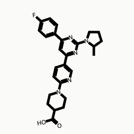 CC1CCCN1c1nc(-c2ccc(F)cc2)cc(-c2ccc(N3CCC(C(=O)O)CC3)nc2)n1